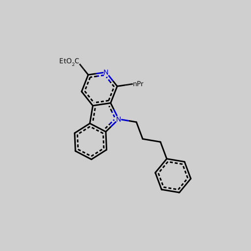 CCCc1nc(C(=O)OCC)cc2c3ccccc3n(CCCc3ccccc3)c12